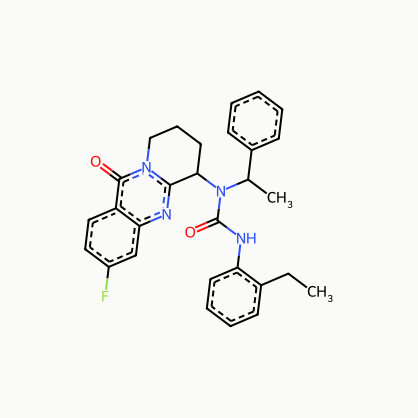 CCc1ccccc1NC(=O)N(C(C)c1ccccc1)C1CCCn2c1nc1cc(F)ccc1c2=O